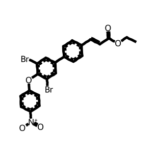 CCOC(=O)C=Cc1ccc(-c2cc(Br)c(Oc3ccc([N+](=O)[O-])cc3)c(Br)c2)cc1